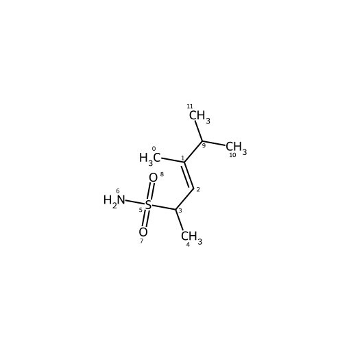 CC(=CC(C)S(N)(=O)=O)C(C)C